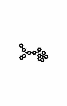 c1ccc(-c2ccc(N(c3ccc(-c4ccc(N(c5ccccc5)c5cc6c7c(ccc8cccc(c87)C6(c6ccccc6)c6ccccc6)c5)cc4)cc3)c3ccc4ccccc4c3)cc2)cc1